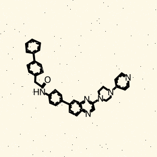 O=C(Cc1ccc(-c2ccccc2)cc1)Nc1ccc(-c2ccc3ncc(N4CCN(c5ccncc5)CC4)nc3c2)cc1